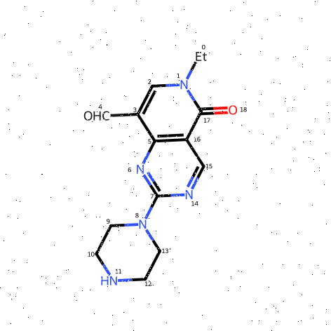 CCn1cc(C=O)c2nc(N3CCNCC3)ncc2c1=O